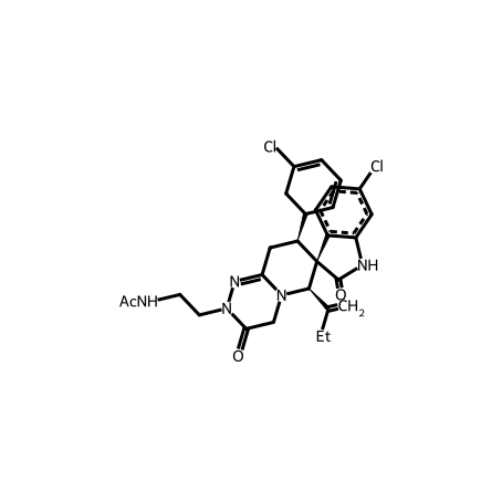 C=C(CC)[C@H]1N2CC(=O)N(CCNC(C)=O)N=C2C[C@@H](C2C=CC=C(Cl)C2)[C@]12C(=O)Nc1cc(Cl)ccc12